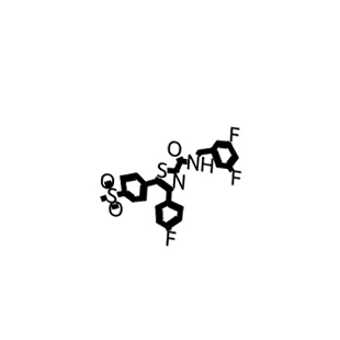 CS(=O)(=O)c1ccc(-c2sc(C(=O)NCc3cc(F)cc(F)c3)nc2-c2ccc(F)cc2)cc1